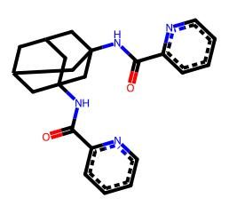 O=C(NC12CC3CC(C1)CC(NC(=O)c1ccccn1)(C3)C2)c1ccccn1